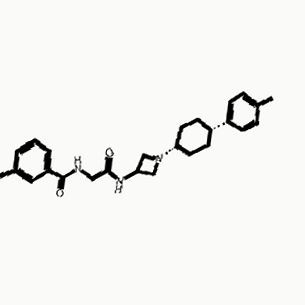 Cc1ccc([C@H]2CC[C@@H](N3CC(NC(=O)CNC(=O)c4cccc(C)c4)C3)CC2)cc1